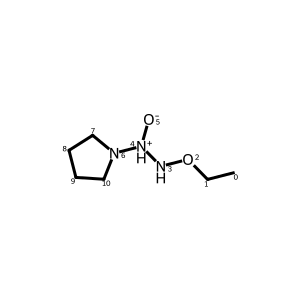 CCON[NH+]([O-])N1CCCC1